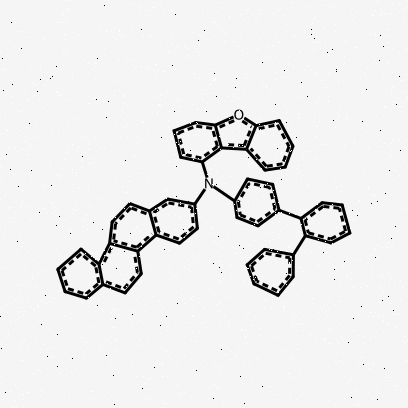 c1ccc(-c2ccccc2-c2ccc(N(c3ccc4c(ccc5c6ccccc6ccc45)c3)c3cccc4oc5ccccc5c34)cc2)cc1